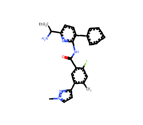 CCOC(=O)C(N)c1ccc(-c2ccccc2)c(NC(=O)c2cc(-c3ccn(C)n3)c(C(F)(F)F)cc2F)n1